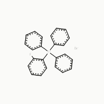 Fc1ccccc1[P+](c1ccccc1)(c1ccccc1)c1ccccc1.[Br-]